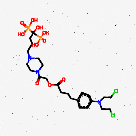 O=C(CCCc1ccc(N(CCCl)CCCl)cc1)OCC(=O)N1CCN(CCCC(O)(P(=O)(O)O)P(=O)(O)O)CC1